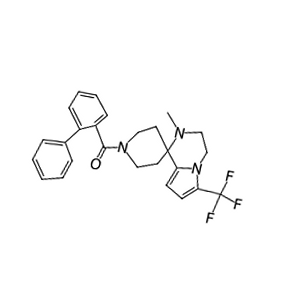 CN1CCn2c(C(F)(F)F)ccc2C12CCN(C(=O)c1ccccc1-c1ccccc1)CC2